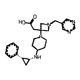 O=C(O)CC1(N2CCC(N[C@@H]3C[C@@H]3c3ccccc3)CC2)CN(Cc2cncnc2)C1